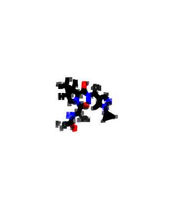 Cc1c(C(C#N)NC(=O)[C@@H]2[C@@H]3[C@H](CN2C(=O)[C@@H](NC(=O)C(F)(F)F)C(C)(C)C)C3(C)C)cnn1C1CC1